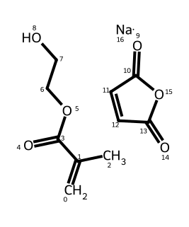 C=C(C)C(=O)OCCO.O=C1C=CC(=O)O1.[Na]